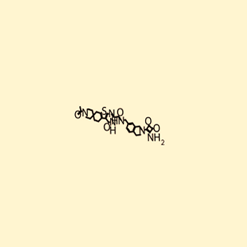 CC(=O)N1CCC2(CCc3c(sc4nc(C(=O)NCc5ccc6c(c5)CN(c5c(N)c(=O)c5=O)CC6)[nH]c(=O)c34)C2)CC1